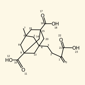 C=C(CCC12CC3(C)CC(C(=O)O)(C1)CC(C(=O)O)(C3)C2)C(=O)O